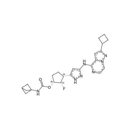 O=C(NC12CC(C1)C2)O[C@@H]1CC[C@H](c2cc(Nc3nccn4nc(C5CCC5)cc34)n[nH]2)[C@@H]1F